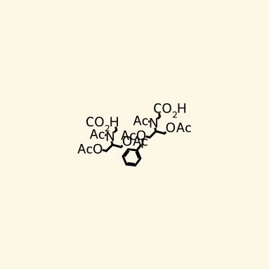 CC(=O)OCC(COC(C)=O)N(CC(=O)O)C(C)=O.CC(=O)OCC(COC(C)=O)N(CC(=O)O)C(C)=O.Ic1ccccc1